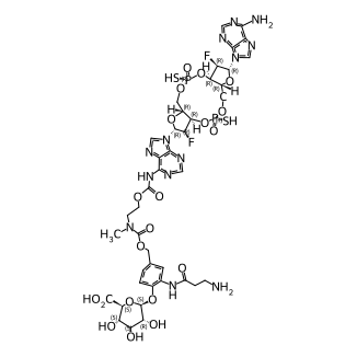 CN(CCOC(=O)Nc1ncnc2c1ncn2[C@@H]1O[C@@H]2CO[P@@](=O)(S)O[C@H]3[C@@H](F)[C@H](n4cnc5c(N)ncnc54)O[C@@H]3CO[P@@](=O)(S)O[C@H]2[C@H]1F)C(=O)OCc1ccc(O[C@@H]2O[C@H](C(=O)O)[C@@H](O)[C@H](O)[C@H]2O)c(NC(=O)CCN)c1